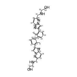 Cc1c(-c2cn3nc(CNCCO)ccc3n2)cccc1-c1cccc(-c2cn3nc(CNCCO)ccc3n2)c1C